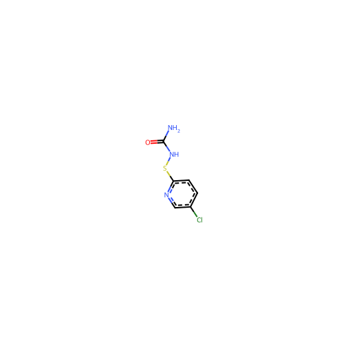 NC(=O)NSc1ccc(Cl)cn1